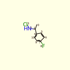 CC(NCl)c1ccc(F)cc1